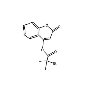 CCC(C)(C)C(=O)Oc1cc(=O)oc2ccccc12